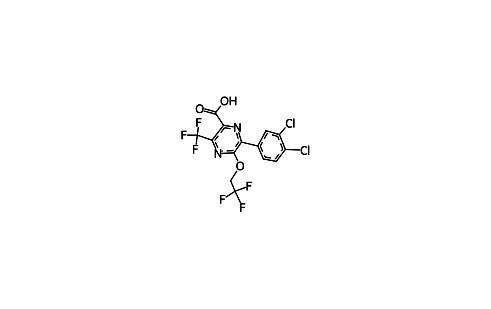 O=C(O)c1nc(-c2ccc(Cl)c(Cl)c2)c(OCC(F)(F)F)nc1C(F)(F)F